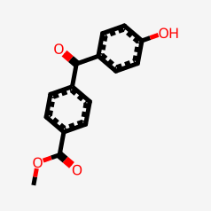 COC(=O)c1ccc(C(=O)c2ccc(O)cc2)cc1